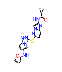 O=C(Nc1cn2nc(Sc3nnc4ccc(Nc5ccco5)cn34)ccc2n1)C1CC1